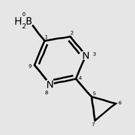 Bc1cnc(C2CC2)nc1